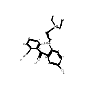 CCN(CC)CCNc1ccc(Cl)cc1C(=O)c1ccccc1F